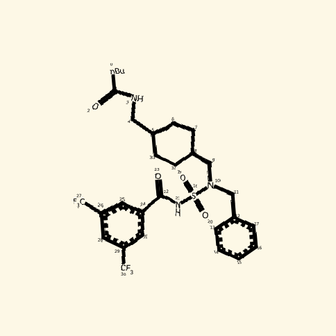 CCCCC(=O)NCC1CCC(CN(Cc2ccccc2)S(=O)(=O)NC(=O)c2cc(C(F)(F)F)cc(C(F)(F)F)c2)CC1